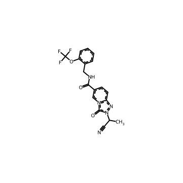 CC(C#N)n1nc2ccc(C(=O)NCc3ccccc3OC(F)(F)F)cn2c1=O